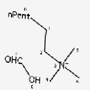 CCCCCCC[N+](C)(C)C.O=CO